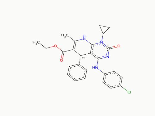 CCOC(=O)C1=C(C)Nc2c(c(Nc3ccc(Cl)cc3)nc(=O)n2C2CC2)[C@@H]1c1ccccc1